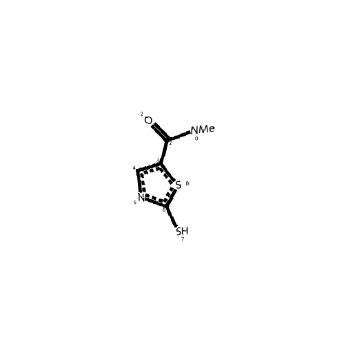 CNC(=O)c1cnc(S)s1